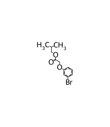 CC(C)COC(=O)COc1cccc(Br)c1